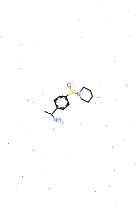 CC(N)c1ccc([S+]([O-])N2CCCCC2)cc1